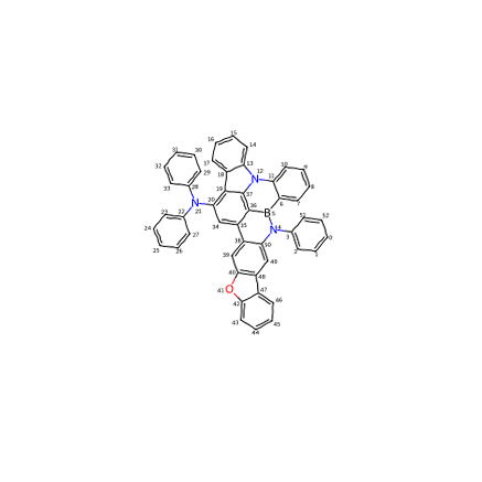 c1ccc(N2B3c4ccccc4-n4c5ccccc5c5c(N(c6ccccc6)c6ccccc6)cc(c3c54)-c3cc4oc5ccccc5c4cc32)cc1